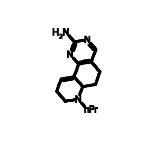 CCCN1CCC=C2c3nc(N)ncc3CCC21